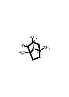 CC1C[C@]2(C)CC[C@@](C)(N2)[C@H]1F